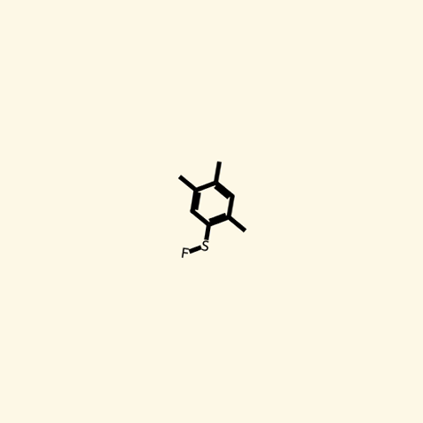 Cc1cc(C)c(SF)cc1C